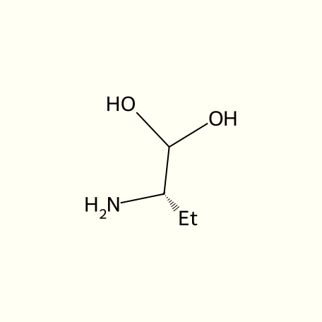 CC[C@H](N)C(O)O